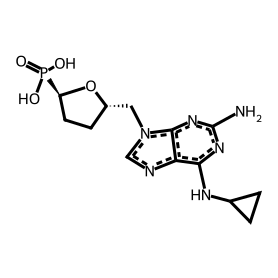 Nc1nc(NC2CC2)c2ncn(C[C@@H]3CC[C@@H](P(=O)(O)O)O3)c2n1